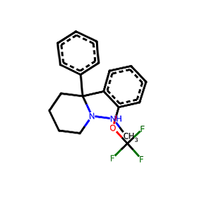 CNN1CCCCC1(c1ccccc1)c1ccccc1OC(F)(F)F